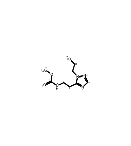 CC(C)(C)OC(=O)NCCc1ncnn1CCO